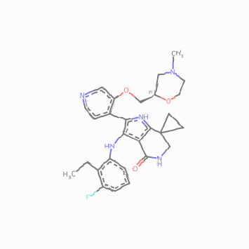 CCc1c(F)cccc1Nc1c(-c2ccncc2OC[C@H]2CN(C)CCO2)[nH]c2c1C(=O)NCC21CC1